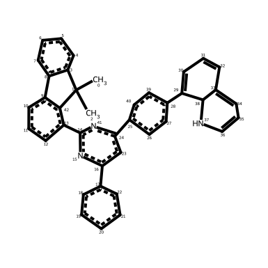 CC1(C)c2ccccc2-c2cccc(-c3nc(-c4ccccc4)cc(-c4ccc(C5=CC=CC6=CC=CNC65)cc4)n3)c21